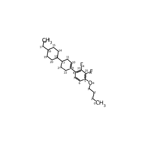 CCCCOc1ccc(C2=CCC(C3CCC(CC)CC3)CC2)c(F)c1F